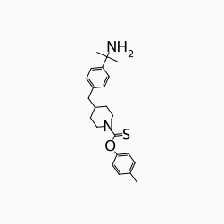 Cc1ccc(OC(=S)N2CCC(Cc3ccc(C(C)(C)N)cc3)CC2)cc1